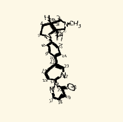 CN1C[C@H]2CCN(c3ccc(-c4ccc(-n5ncccc5=O)nc4)cc3)[C@H]2C1